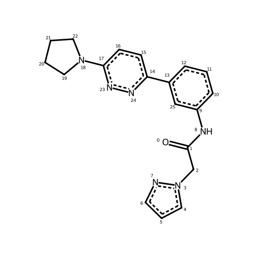 O=C(Cn1cccn1)Nc1cccc(-c2ccc(N3CCCC3)nn2)c1